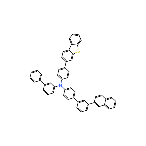 c1ccc(-c2cccc(N(c3ccc(-c4cccc(-c5ccc6ccccc6c5)c4)cc3)c3ccc(-c4ccc5c(c4)sc4ccccc45)cc3)c2)cc1